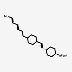 CCCCC[C@H]1CC[C@H](/C=C/C2CCC(CCC=CC=CC#N)CC2)CC1